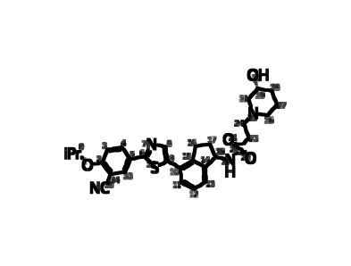 CC(C)Oc1ccc(-c2ncc(-c3cccc4c3CCC4NS(=O)(=O)CCN3CCC[C@@H](O)C3)s2)cc1C#N